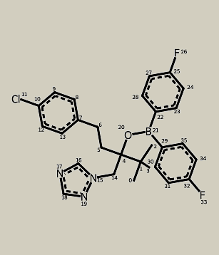 CC(C)(C)C(CCc1ccc(Cl)cc1)(Cn1cncn1)OB(c1ccc(F)cc1)c1ccc(F)cc1